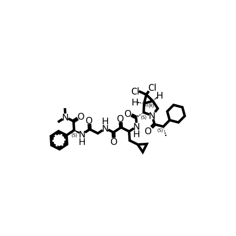 C[C@H](C(=O)N1C[C@H]2[C@@H]([C@H]1C(=O)NC(CC1CC1)C(=O)C(=O)NCC(=O)N[C@H](C(=O)N(C)C)c1ccccc1)C2(Cl)Cl)C1CCCCC1